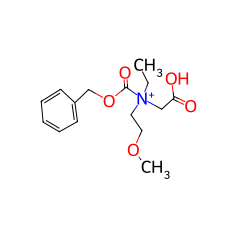 CC[N+](CCOC)(CC(=O)O)C(=O)OCc1ccccc1